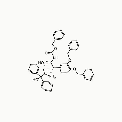 CC(N)C(O)(c1ccccc1)c1ccccc1.O=C(N[C@@H](C(=O)O)C(O)c1ccc(OCc2ccccc2)c(OCc2ccccc2)c1)OCc1ccccc1